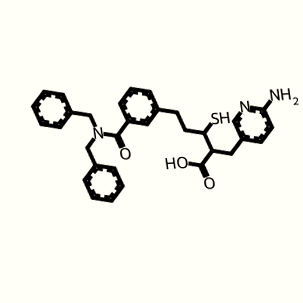 Nc1ccc(CC(C(=O)O)C(S)CCc2cccc(C(=O)N(Cc3ccccc3)Cc3ccccc3)c2)cn1